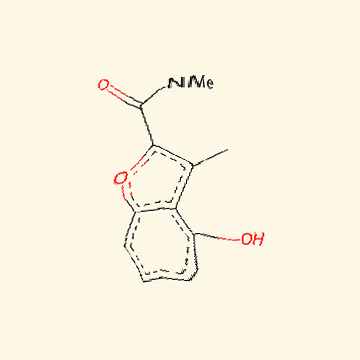 CNC(=O)c1oc2cccc(O)c2c1C